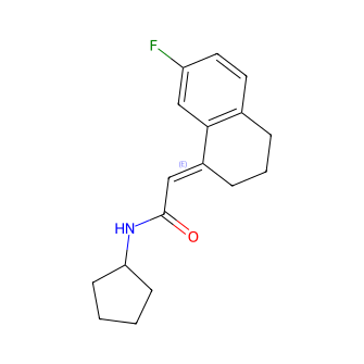 O=C(/C=C1\CCCc2ccc(F)cc21)NC1CCCC1